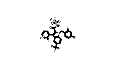 CS(=O)(=O)NC(=O)c1c(-c2ccc[nH]c2=O)c2cc(C(F)(F)F)ccc2n1Cc1ccc(F)cc1F